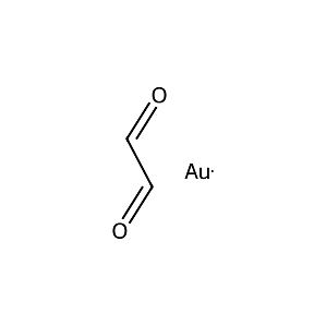 O=CC=O.[Au]